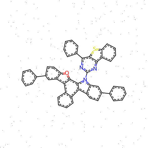 c1ccc(-c2ccc3oc4c(c3c2)c2ccccc2c2c3ccc(-c5ccccc5)cc3n(-c3nc(-c5ccccc5)c5sc6ccccc6c5n3)c42)cc1